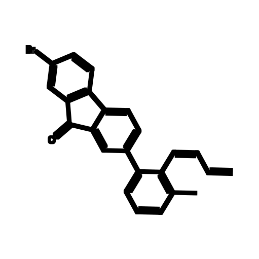 C=C/C=C\c1c(C)cccc1-c1ccc2c(c1)C(=O)c1cc(Br)ccc1-2